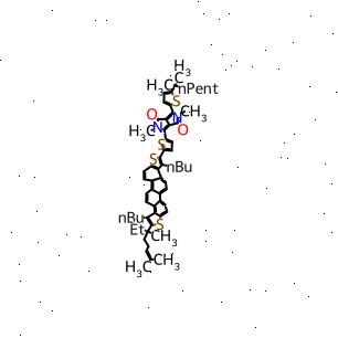 CCCCCC(C)(C)c1ccc(C2=C3C(=O)N(C)C(c4ccc(-c5sc6ccc7c8ccc9c(ccc%10sc(C(C)(CC)CCC=C(C)C)c(CCCC)c%109)c8ccc7c6c5CCCC)s4)=C3C(=O)N2C)s1